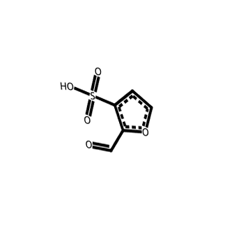 O=Cc1occc1S(=O)(=O)O